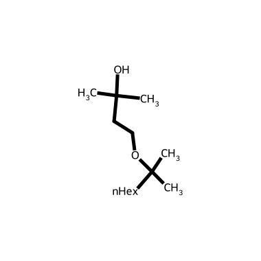 CCCCCCC(C)(C)OCCC(C)(C)O